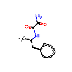 CC(Cc1ccccc1)NC(=O)C(N)=O